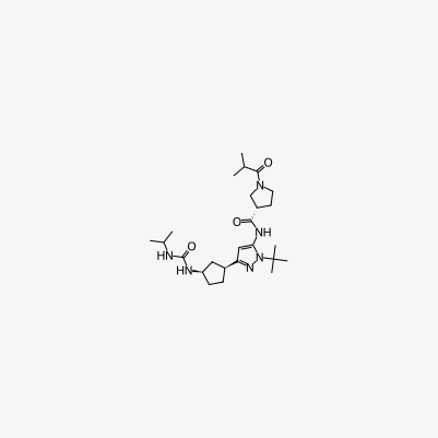 CC(C)NC(=O)N[C@@H]1CC[C@H](c2cc(NC(=O)[C@H]3CCN(C(=O)C(C)C)C3)n(C(C)(C)C)n2)C1